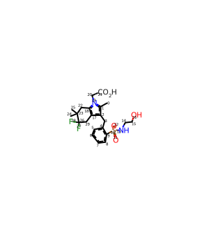 Cc1c(Cc2ccccc2S(=O)(=O)NCCO)c2c(n1CC(=O)O)CC(C)(C)C(F)(F)C2